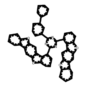 c1ccc(-c2cccc(-c3nc(-c4cccc5oc6cc7c(cc6c45)oc4ccccc47)nc(-c4cccc5oc6cc7c(cc6c45)oc4ccccc47)n3)c2)cc1